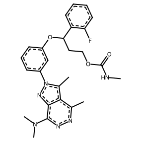 CNC(=O)OCCC(Oc1cccc(-n2nc3c(N(C)C)nnc(C)c3c2C)c1)c1ccccc1F